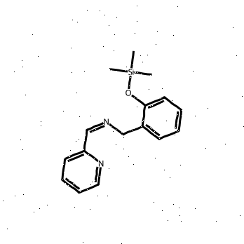 C[Si](C)(C)Oc1ccccc1C/N=C\c1ccccn1